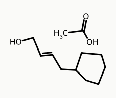 CC(=O)O.OCC=CCC1CCCCC1